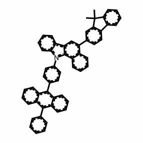 CC1(C)c2ccccc2-c2ccc(-c3cc4c5ccccc5n(-c5ccc(-c6c7ccccc7c(-c7ccccc7)c7ccccc67)cc5)c4c4ccccc34)cc21